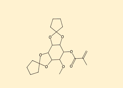 C=C(C)C(=O)OC1C(OC)C2OC3(CCCC3)OC2C2OC3(CCCC3)OC12